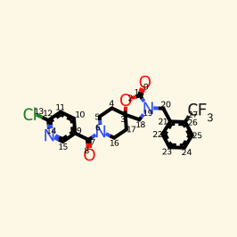 O=C1OC2(CCN(C(=O)c3ccc(Cl)nc3)CC2)CN1Cc1ccccc1C(F)(F)F